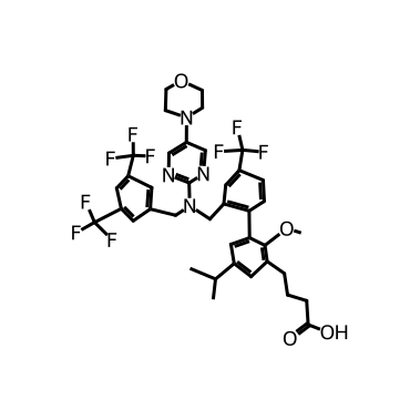 COc1c(CCCC(=O)O)cc(C(C)C)cc1-c1ccc(C(F)(F)F)cc1CN(Cc1cc(C(F)(F)F)cc(C(F)(F)F)c1)c1ncc(N2CCOCC2)cn1